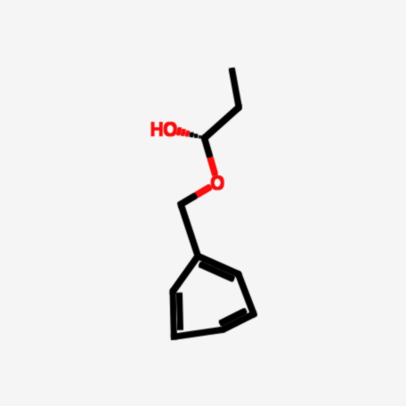 CC[C@@H](O)OCc1ccccc1